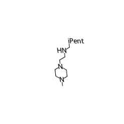 CCCC(C)CNCCN1CCN(C)CC1